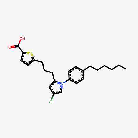 CCCCCCc1ccc(-n2cc(Cl)cc2CCCc2ccc(C(=O)O)s2)cc1